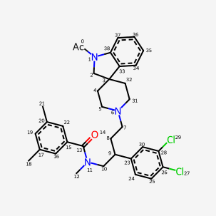 CC(=O)N1CC2(CCN(CCC(CN(C)C(=O)c3cc(C)cc(C)c3)c3ccc(Cl)c(Cl)c3)CC2)c2ccccc21